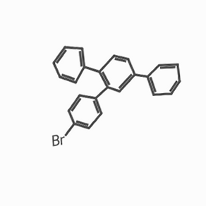 Brc1ccc(-c2cc(-c3ccccc3)ccc2-c2ccccc2)cc1